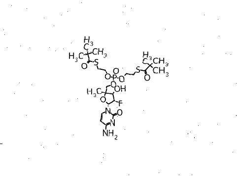 CC(C)(C)C(=O)SCCOP(=O)(OCCSC(=O)C(C)(C)C)OC[C@@]1(C)O[C@@H](n2ccc(N)nc2=O)[C@H](F)[C@@H]1O